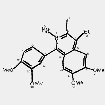 CCc1c(C)[n+]([NH-])c(-c2ccc(OC)c(OC)c2)c2cc(OC)c(OC)cc12